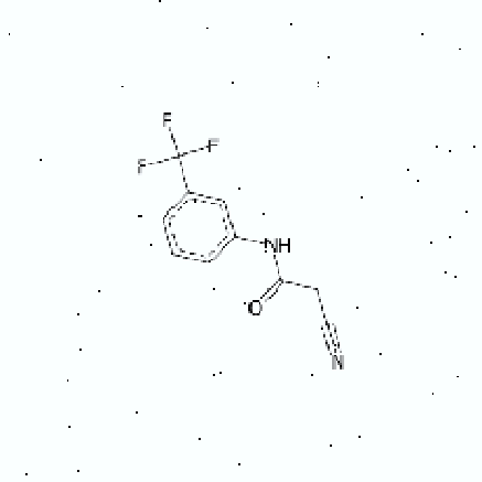 N#CCC(=O)Nc1cccc(C(F)(F)F)c1